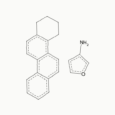 Nc1ccoc1.c1ccc2c(c1)ccc1c3c(ccc12)CCCC3